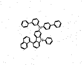 c1ccc(-c2ccc(N(c3cccc(-c4ccccc4)c3)c3ccc4c5c(-c6cccc7ccccc67)cccc5n(-c5ccccc5)c4c3)cc2)cc1